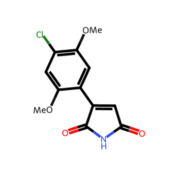 COc1cc(C2=CC(=O)NC2=O)c(OC)cc1Cl